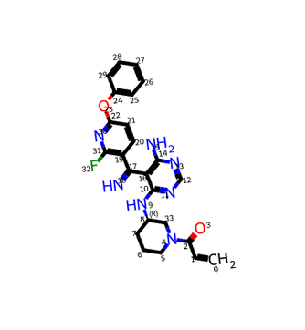 C=CC(=O)N1CCC[C@@H](Nc2ncnc(N)c2C(=N)c2ccc(Oc3ccccc3)nc2F)C1